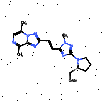 COC[C@H]1CCCN1c1nc(C=Cc2nc3c(C)ncc(C)n3n2)n(C)n1